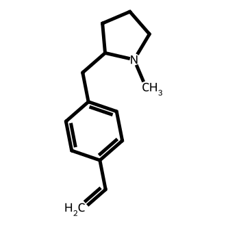 C=Cc1ccc(CC2CCCN2C)cc1